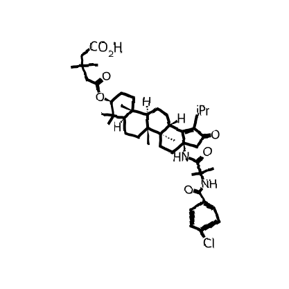 CC(C)C1=C2[C@H]3CC[C@@H]4[C@@]5(C)CC[C@H](OC(=O)CC(C)(C)CC(=O)O)C(C)(C)[C@@H]5CC[C@@]4(C)[C@]3(C)CC[C@@]2(NC(=O)C(C)(C)NC(=O)c2ccc(Cl)cc2)CC1=O